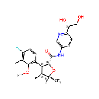 CCOc1c([C@H]2[C@H](C(=O)Nc3ccc([C@H](O)CO)nc3)O[C@@](C)(C(F)(F)F)[C@H]2C)ccc(F)c1C